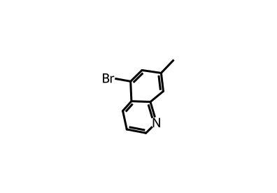 Cc1cc(Br)c2cccnc2c1